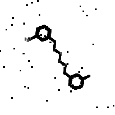 Cc1cccc(CSSSSCc2cccc(N)c2)c1